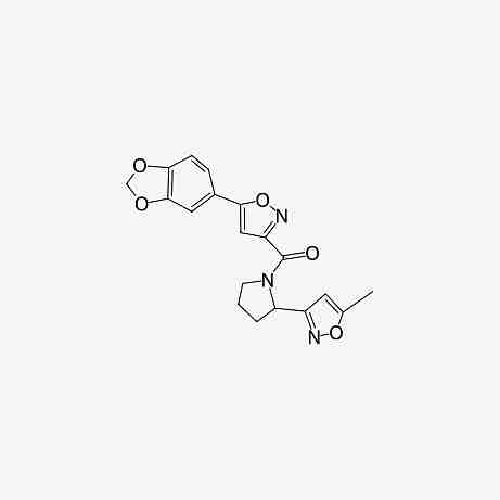 Cc1cc(C2CCCN2C(=O)c2cc(-c3ccc4c(c3)OCO4)on2)no1